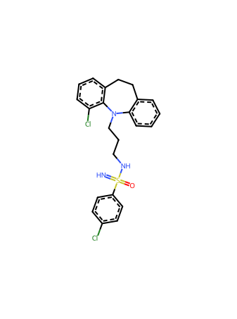 N=S(=O)(NCCCN1c2ccccc2CCc2cccc(Cl)c21)c1ccc(Cl)cc1